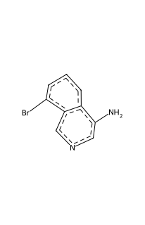 Nc1cncc2c(Br)cccc12